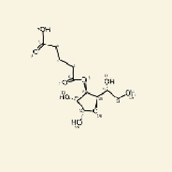 O=C(O)CCCC(=O)O[C@@H]1[C@@H](O)[C@@H](O)O[C@@H]1[C@H](O)CO